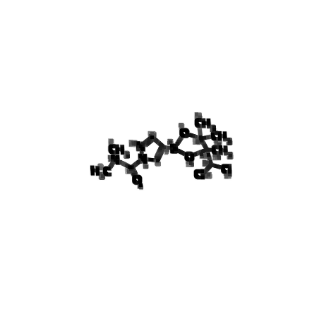 CN(C)C(=O)n1cc(B2OC(C)(C)C(C)(C(Cl)Cl)O2)cn1